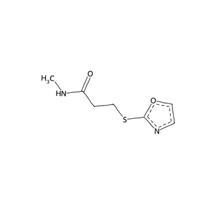 CNC(=O)CCSc1ncco1